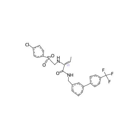 C/C=C(\NCS(=O)(=O)c1ccc(Cl)cc1)C(=O)NCc1cccc(-c2ccc(C(F)(F)F)cc2)c1